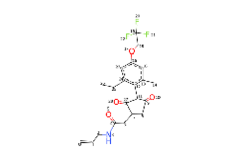 C=CCNC(=O)CC1CC(=O)C(c2c(C)cc(OCC(F)(F)F)cc2CC)C1=O